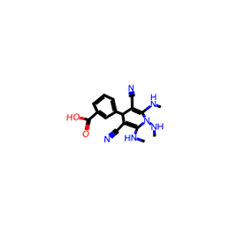 CNC1=C(C#N)C(c2cccc(C(=O)O)c2)C(C#N)=C(NC)N1NC